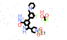 CCS(=O)(=O)N1CCC(c2c[nH]c3c(C(N)=O)cc(-c4cc(F)cc(CN5CCCCC5)c4)cc23)CC1.O=C(O)C(F)(F)F